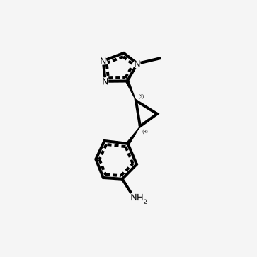 Cn1cnnc1[C@H]1C[C@H]1c1cccc(N)c1